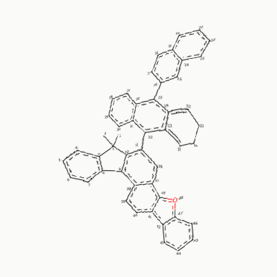 CC1(C)c2ccccc2-c2c1c(-c1c3c(c(-c4ccc5ccccc5c4)c4ccccc14)=CCCC=3)cc1c2ccc2c3ccccc3oc12